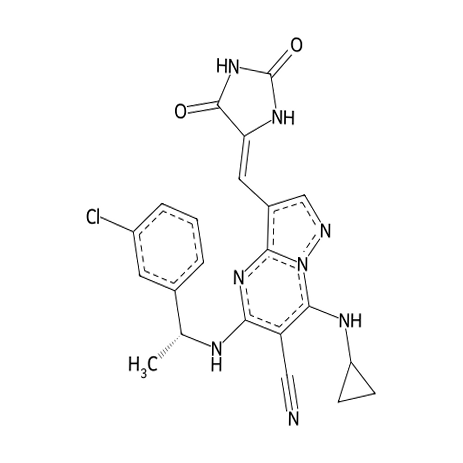 C[C@@H](Nc1nc2c(/C=C3\NC(=O)NC3=O)cnn2c(NC2CC2)c1C#N)c1cccc(Cl)c1